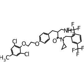 Cc1cc(Cl)c(OCCOc2ccc(CC(CN)C(=O)N(Cc3cc(C(F)(F)F)ccc3C(F)(F)F)C3CC3)cc2)c(Cl)c1